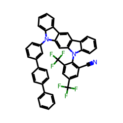 N#Cc1cc(C(F)(F)F)cc(C(F)(F)F)c1-n1c2ccccc2c2cc3c4ccccc4n(-c4cccc(-c5ccc(-c6ccccc6)cc5)c4)c3cc21